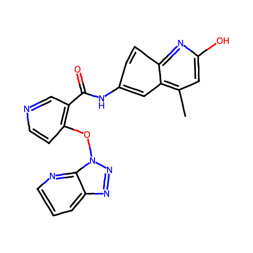 Cc1cc(O)nc2ccc(NC(=O)c3cnccc3On3nnc4cccnc43)cc12